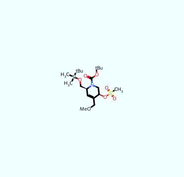 COCC1=C[C@@H](CO[Si](C)(C)C(C)(C)C)N(C(=O)OC(C)(C)C)C[C@H]1OS(C)(=O)=O